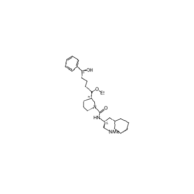 CCOC(CCC[C@H](O)c1ccccc1)[C@@H]1CCCN(C(=O)N[C@H](CNC)CC2CCCCC2)C1